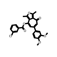 COc1ccc(-c2cc(OC(=O)c3cccc(Cl)c3)c3c(C)oc(C)c3c(=O)c2)cc1OC